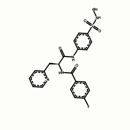 CC(C)(C)NS(=O)(=O)c1ccc(NC(=O)[C@H](Cc2ccccn2)NC(=O)c2ccc(F)cc2)cc1